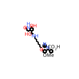 COc1cc(OCCCCCCCCCNC[C@H](O)c2ccc(O)c3[nH]c(=O)ccc23)cc([C@@H](c2ccccc2)N(C(=O)O)C2CN3CCC2CC3)c1